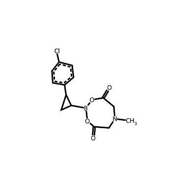 CN1CC(=O)OB(C2CC2c2ccc(Cl)cc2)OC(=O)C1